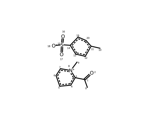 CC(=O)c1cccc[n+]1C.Cc1ccc(S(=O)(=O)[O-])cc1